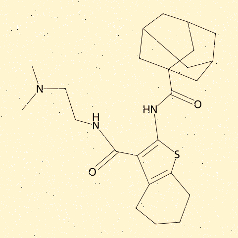 CN(C)CCNC(=O)c1c(NC(=O)C23CC4CC(CC(C4)C2)C3)sc2c1CCCC2